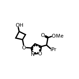 COC(=O)C(c1cc(OC2CC(O)C2)no1)C(C)C